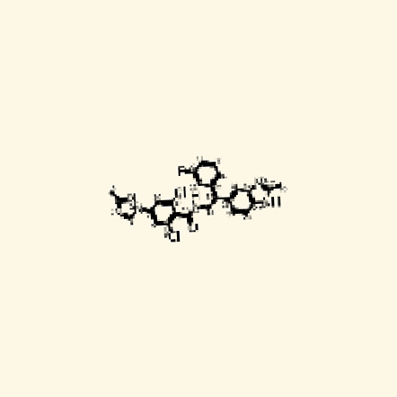 Cc1ncn(-c2cc(Cl)c(C(=O)NCC(c3cccc(F)c3)c3ccc4[nH]c(C)nc4c3)c(Cl)c2)n1